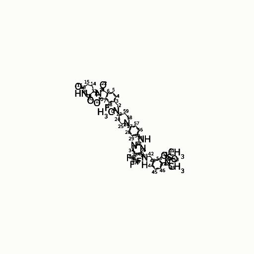 CN(Cc1ccc2c(c1F)C(=O)N(C1CCC(=O)NC1=O)C2=O)C1CCN(c2ccc(Nc3ncc(C(F)(F)F)c(NCc4cccc(N(C)S(C)(=O)=O)c4)n3)cc2)CC1